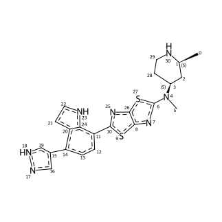 C[C@H]1C[C@@H](N(C)c2nc3sc(-c4ccc(-c5cn[nH]c5)c5cc[nH]c45)nc3s2)CCN1